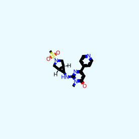 Cn1c(NC2[C@H]3CN(S(C)(=O)=O)C[C@@H]23)nc(-c2ccncc2)cc1=O